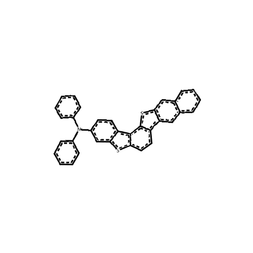 c1ccc(N(c2ccccc2)c2ccc3c(c2)sc2ccc4c5cc6ccccc6cc5sc4c23)cc1